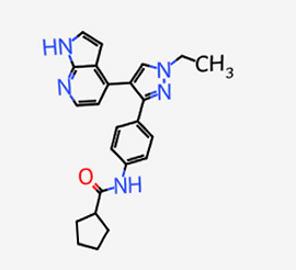 CCn1cc(-c2ccnc3[nH]ccc23)c(-c2ccc(NC(=O)C3CCCC3)cc2)n1